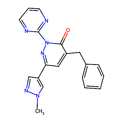 Cn1cc(-c2cc(Cc3ccccc3)c(=O)n(-c3ncccn3)n2)cn1